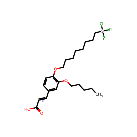 CCCCCOc1cc(/C=C/C(=O)O)ccc1OCCCCCCCC[Si](Cl)(Cl)Cl